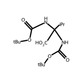 CC(C)C(NC(=O)OC(C)(C)C)(NC(=O)OC(C)(C)C)C(=O)O